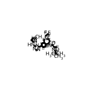 Cn1ccc(Nc2ncnc(-c3ccc4c(c3)CN(CC(F)(F)F)CCC4NC(=O)c3coc(C(C)(C)C)n3)n2)n1